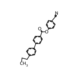 CCCc1ccc(-c2ccc(C(=O)Oc3ccc(C#N)cc3)cc2)cc1